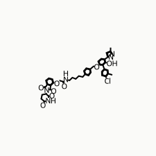 Cc1cc(-c2ccc(OCc3ccc(CCCCCNC(=O)COc4cccc5c4C(=O)N(C4CCC(=O)NC4=O)C5=O)cc3)c(-c3ccc(Cl)c(C)c3)c2O)n(C)n1